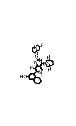 C[C@@H]1CCCc2cc(O)cc(-c3ncc4c(N5C[C@H]6CC[C@@H](C5)N6)nc(OC[C@@]56CCCN5C[C@H](F)C6)nc4c3F)c21